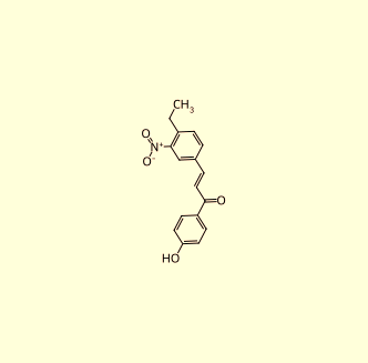 CCc1ccc(/C=C/C(=O)c2ccc(O)cc2)cc1[N+](=O)[O-]